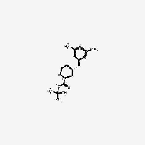 Cc1cc(C[C@H]2CCCN(C(=O)OC(C)(C)C)C2)cc(C)n1